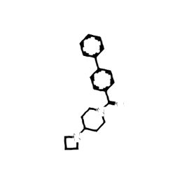 O=C(c1ccc(-c2ccccc2)cc1)N1CCC(N2CCC2)CC1